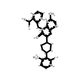 Cc1cnc2cc(C3CCC(c4c(C)ccnc4F)CC3)c(=O)n(Cc3nccnc3C(F)F)c2n1